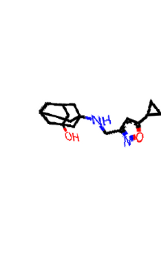 OC12CC3CC(C1)CC(NCc1cc(C4CC4)on1)(C3)C2